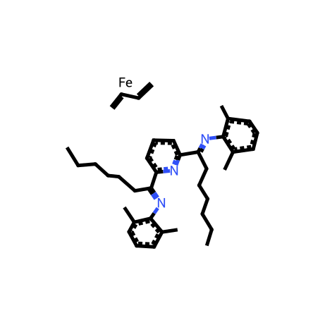 C=CC=C.CCCCCCC(=Nc1c(C)cccc1C)c1cccc(C(CCCCCC)=Nc2c(C)cccc2C)n1.[Fe]